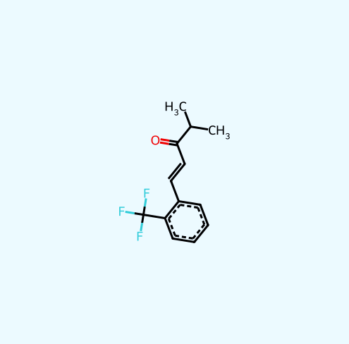 CC(C)C(=O)C=Cc1ccccc1C(F)(F)F